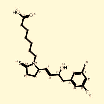 O=C(O)CCCCCCN1C(=S)CC[C@@H]1C=C[C@@H](O)Cc1cc(F)cc(F)c1